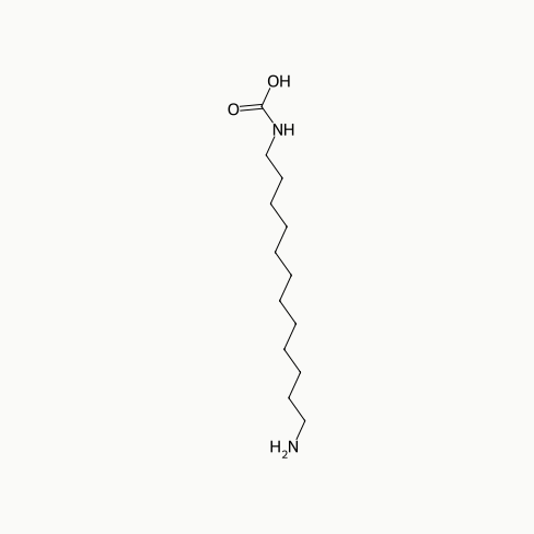 NCCCCCCCCCCCCNC(=O)O